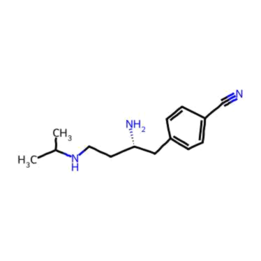 CC(C)NCC[C@H](N)Cc1ccc(C#N)cc1